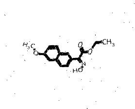 CCOC(=O)/C(=N/O)c1ccc2cc(OC)ccc2c1